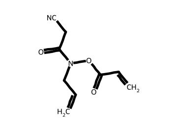 C=CCN(OC(=O)C=C)C(=O)CC#N